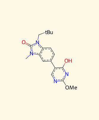 COc1ncc(-c2ccc3c(c2)n(C)c(=O)n3CC(C)(C)C)c(O)n1